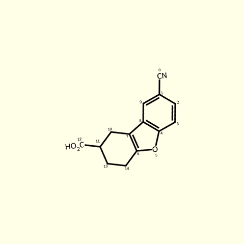 N#Cc1ccc2oc3c(c2c1)CC(C(=O)O)CC3